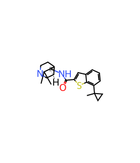 CC1(c2cccc3cc(C(=O)N[C@@H]4C5CCN(CC5)C4(C)C)sc23)CC1